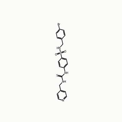 O=S(=O)(NCc1ccc(Br)cc1)c1ccc(NC(=S)NCc2ccncc2)cc1